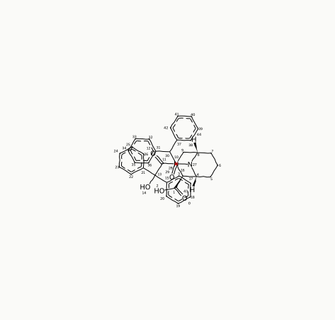 O=C(O)[C@@H]1[C@H]2CCC[C@@H](CN1C(=O)C(O)(c1ccccc1)c1ccccc1)N2C(=O)C(c1ccccc1)c1ccccc1